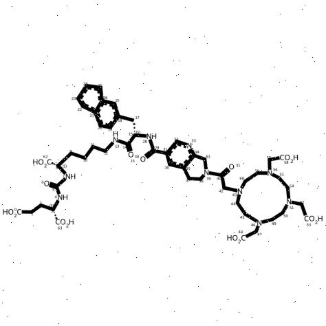 O=C(O)CC[C@H](NC(=O)N[C@@H](CCCCNC(=O)[C@H](Cc1ccc2ccccc2c1)NC(=O)c1cnc2c(c1)CCN(C(=O)CN1CCN(CC(=O)O)CCN(CC(=O)O)CCN(CC(=O)O)CC1)C2)C(=O)O)C(=O)O